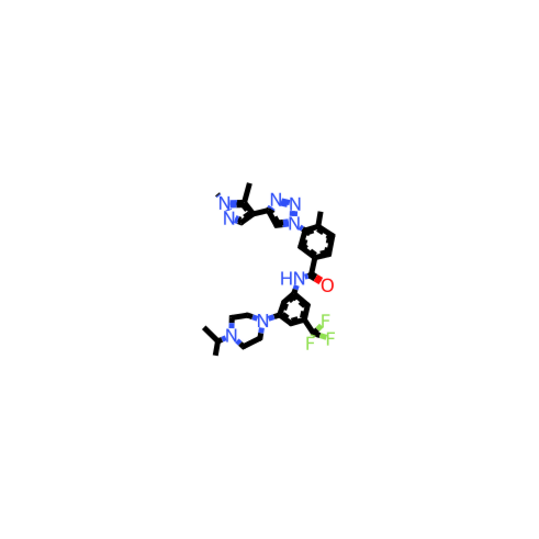 Cc1ccc(C(=O)Nc2cc(N3CCN(C(C)C)CC3)cc(C(F)(F)F)c2)cc1-n1cc(-c2cnn(C)c2C)nn1